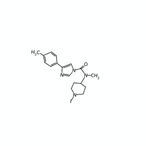 Cc1ccc(-c2cn(C(=O)N(C)C3CCN(I)CC3)cn2)cc1